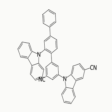 N#Cc1cc(-c2ccc(-c3ccccc3)cc2-n2c3ccccc3c3ccccc32)cc(-n2c3ccccc3c3cc(C#N)ccc32)c1